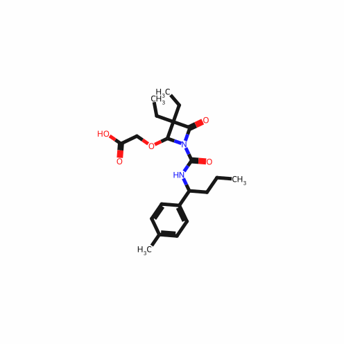 CCCC(NC(=O)N1C(=O)C(CC)(CC)C1OCC(=O)O)c1ccc(C)cc1